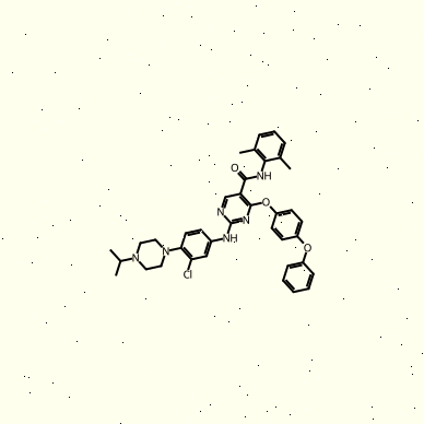 Cc1cccc(C)c1NC(=O)c1cnc(Nc2ccc(N3CCN(C(C)C)CC3)c(Cl)c2)nc1Oc1ccc(Oc2ccccc2)cc1